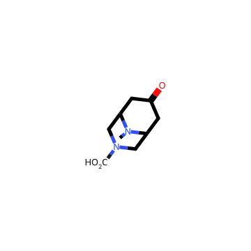 CN1C2CC(=O)CC1CN(C(=O)O)C2